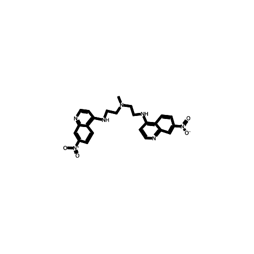 CN(CCNc1ccnc2cc([N+](=O)[O-])ccc12)CCNc1ccnc2cc([N+](=O)[O-])ccc12